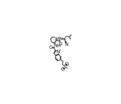 CC(C)C[C@@H](C#N)NC(=O)[C@@H]1CCCC[C@@H]1NC(=O)c1cc2ccc(CCS(C)(=O)=O)cc2n1C